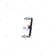 CCCCCCCCCCCCCCCCCCCN(CCCCCCCCCCCCCCCCCCC)C(N)=O